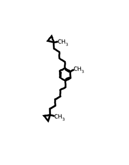 Cc1cc(CCCCCCC2(C)CC2)ccc1CCCCC1(C)CC1